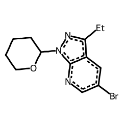 CCc1nn(C2CCCCO2)c2ncc(Br)cc12